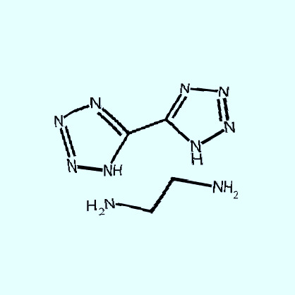 NCCN.n1n[nH]c(-c2nnn[nH]2)n1